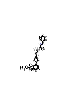 Cc1nc2cccc(N3CC4C(CCNC(=O)/C=C/c5cccnc5)C4C3)c2o1